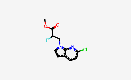 COC(=O)C(F)Cn1ccc2ccc(Cl)nc21